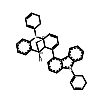 C1=CCCC(N2c3ccccc3[C@@H]3C[C@]24C=CC=C(c2cccc5c2c2ccccc2n5C2=CC=CCC2)C34)=C1